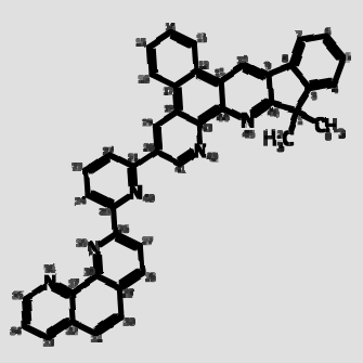 CC1(C)c2ccccc2-c2cc3c4ccccc4c4cc(-c5cccc(-c6ccc7ccc8cccnc8c7n6)n5)cnc4c3nc21